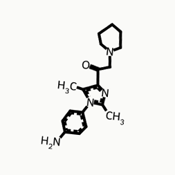 Cc1nc(C(=O)CN2CCCCC2)c(C)n1-c1ccc(N)cc1